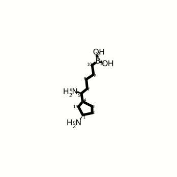 N[C@H]1CCC([C@@H](N)CCCCB(O)O)C1